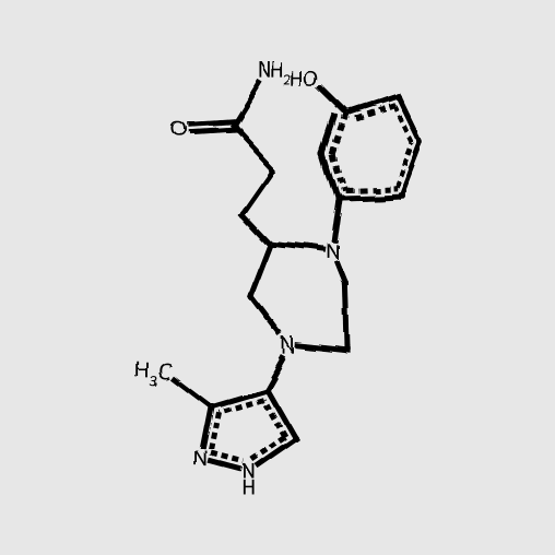 Cc1n[nH]cc1N1CCN(c2cccc(O)c2)C(CCC(N)=O)C1